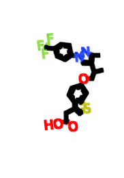 Cc1nn(-c2ccc(C(F)(F)F)cc2)cc1C(C)COc1ccc2c(CC(=O)O)csc2c1